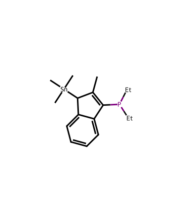 CCP(CC)C1=C(C)[CH]([Sn]([CH3])([CH3])[CH3])c2ccccc21